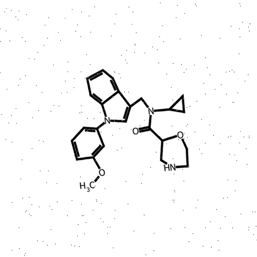 COc1cccc(-n2cc(CN(C(=O)C3CNCCO3)C3CC3)c3ccccc32)c1